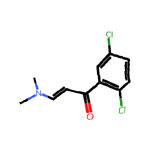 CN(C)C=CC(=O)c1cc(Cl)ccc1Cl